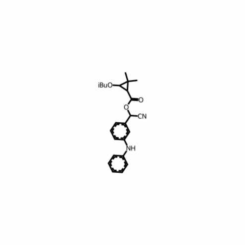 CC(C)COC1C(C(=O)OC(C#N)c2cccc(Nc3ccccc3)c2)C1(C)C